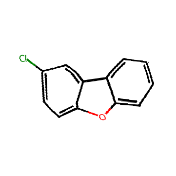 Clc1ccc2oc3cc[c]cc3c2c1